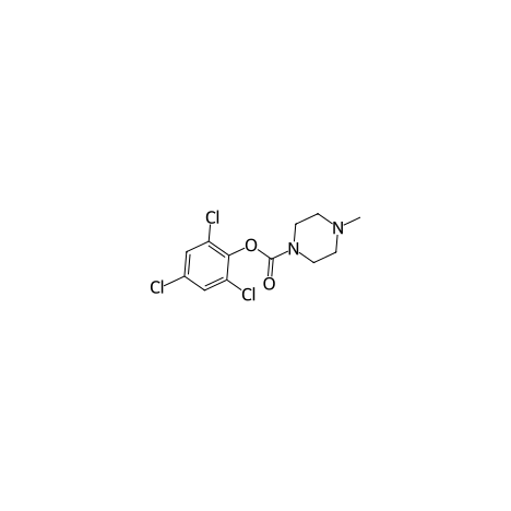 CN1CCN(C(=O)Oc2c(Cl)cc(Cl)cc2Cl)CC1